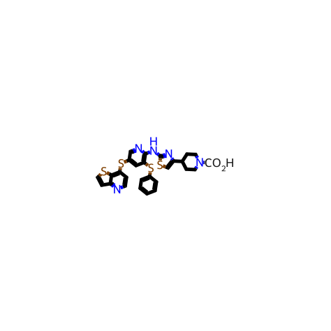 O=C(O)N1CCC(c2csc(Nc3ncc(Sc4ccnc5ccsc45)cc3Sc3ccccc3)n2)CC1